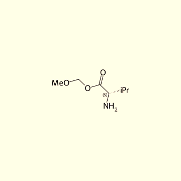 COCOC(=O)[C@@H](N)C(C)C